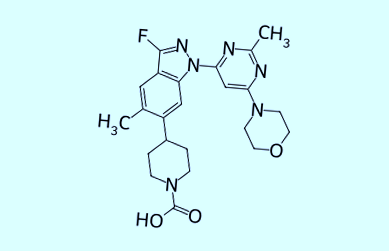 Cc1nc(N2CCOCC2)cc(-n2nc(F)c3cc(C)c(C4CCN(C(=O)O)CC4)cc32)n1